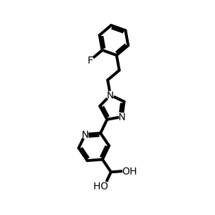 OC(O)c1ccnc(-c2cn(CCc3ccccc3F)cn2)c1